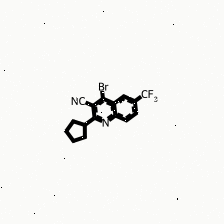 N#Cc1c(C2CCCC2)nc2ccc(C(F)(F)F)cc2c1Br